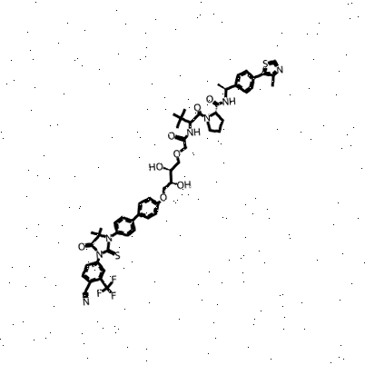 Cc1ncsc1-c1ccc([C@H](C)NC(=O)[C@@H]2CCCN2C(=O)C(NC(=O)COC[C@H](O)[C@@H](O)COc2ccc(-c3ccc(N4C(=S)N(c5ccc(C#N)c(C(F)(F)F)c5)C(=O)C4(C)C)cc3)cc2)C(C)(C)C)cc1